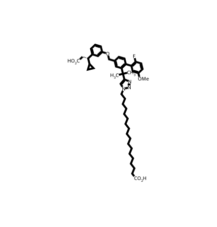 COc1ccc(F)c(-c2ccc(COc3cccc([C@@H](CC(=O)O)C4CC4)c3)cc2C(C)(C)c2cn(CCCCCCCCCCCCCCCCCC(=O)O)nn2)c1